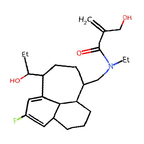 C=C(CO)C(=O)N(CC)CC1CCC(C(O)CC)C2=CC(F)=CC3CCCC1C23